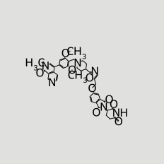 COc1cc(-c2cn(C)c(=O)c3cnccc23)cc(OC)c1CN1CCC(c2ncc(COc3ccc4c(c3)C(=O)N(C3CCC(=O)NC3=O)C4=O)o2)CC1